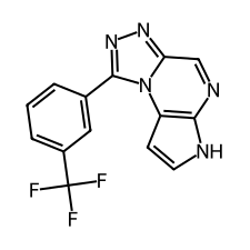 FC(F)(F)c1cccc(-c2nnc3cnc4[nH]ccc4n23)c1